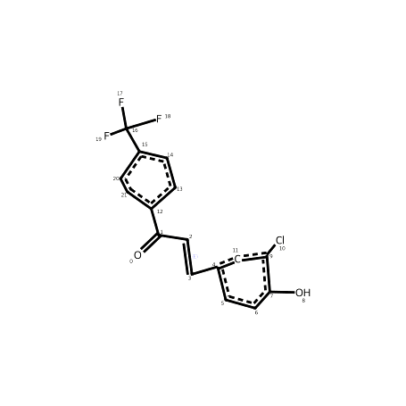 O=C(/C=C/c1ccc(O)c(Cl)c1)c1ccc(C(F)(F)F)cc1